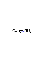 N/C=C/SC[C]=O